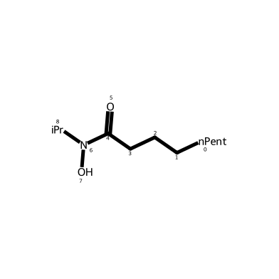 CCCCCCCCC(=O)N(O)C(C)C